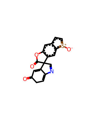 O=C1C=C2C(=CC1)N=CC21C(=O)Oc2cc3cc[s+]([O-])c3cc21